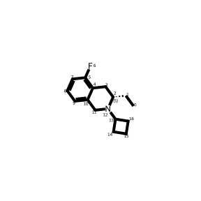 CC[C@H]1Cc2c(F)cccc2CN1C1CCC1